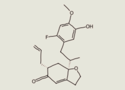 C=CC[C@@H]1C[C@@]2(C(C)Cc3cc(O)c(OC)cc3F)OCCC2=CC1=O